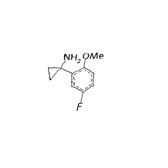 COc1ccc(F)cc1C1(N)CC1